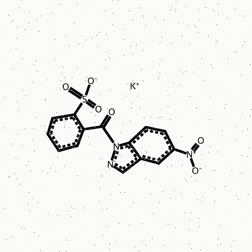 O=C(c1ccccc1S(=O)(=O)[O-])n1ncc2cc([N+](=O)[O-])ccc21.[K+]